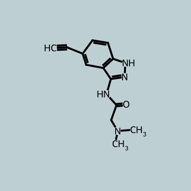 C#Cc1ccc2[nH]nc(NC(=O)CN(C)C)c2c1